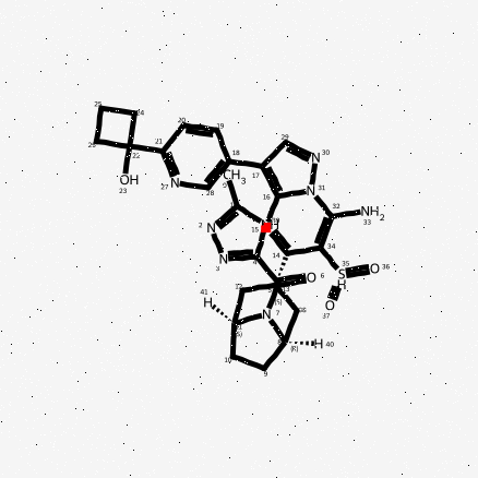 Cc1nnc(C(=O)N2[C@@H]3CC[C@H]2C[C@H](c2nc4c(-c5ccc(C6(O)CCC6)nc5)cnn4c(N)c2[SH](=O)=O)C3)[nH]1